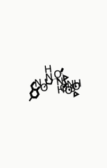 C=C[C@@H]1C[C@]1(NC(=O)[C@@H]1C[C@@H](Oc2nccc3cc(C)ccc23)CN1)C(=O)NS(=O)(=O)C1CC1